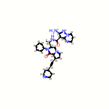 C[C@@H](NC(=O)c1c(N)nn2cccnc12)c1cn2ccc(C#Cc3ccncc3)c2c(=O)n1-c1ccccc1